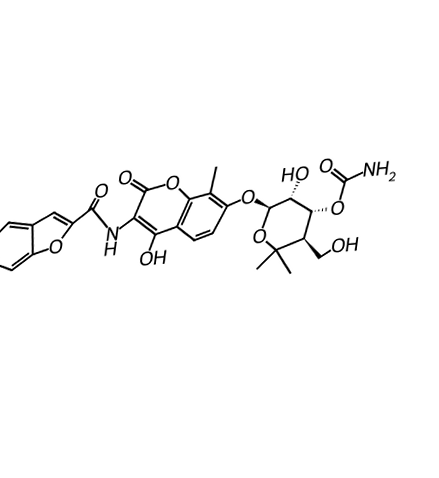 Cc1c(O[C@@H]2OC(C)(C)[C@H](CO)[C@@H](OC(N)=O)[C@H]2O)ccc2c(O)c(NC(=O)c3cc4ccccc4o3)c(=O)oc12